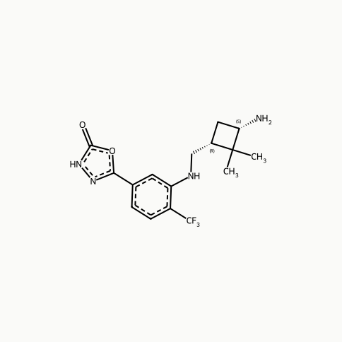 CC1(C)[C@H](CNc2cc(-c3n[nH]c(=O)o3)ccc2C(F)(F)F)C[C@@H]1N